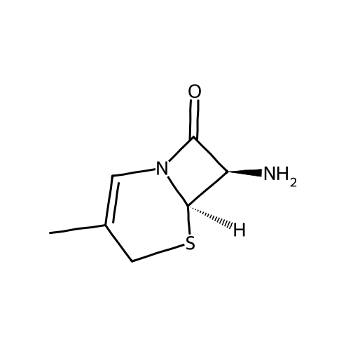 CC1=CN2C(=O)[C@@H](N)[C@H]2SC1